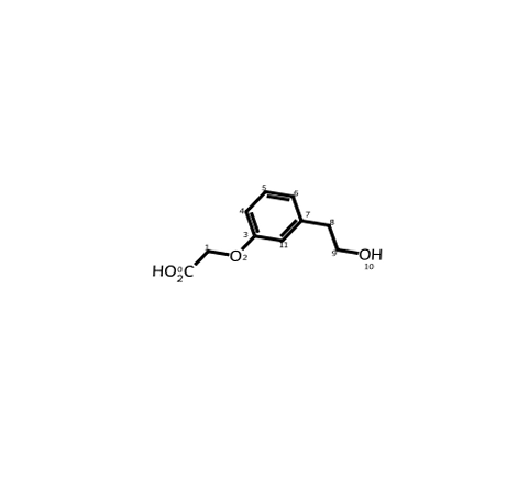 O=C(O)COc1cccc(CCO)c1